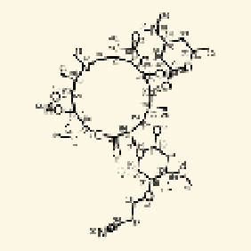 CC[C@H]1OC(=O)[C@H](C)[C@@H](O[C@H]2C[C@@](C)(OC)[C@@H](OCCC#N)[C@H](C)O2)[C@H](C)[C@@H](O[C@@H]2O[C@H](C)C[C@H](N(C)C)[C@H]2OC(C)=O)[C@](C)(O)C[C@@H](C)CN(C)[C@H](C)[C@@H](OC)[C@]1(C)O